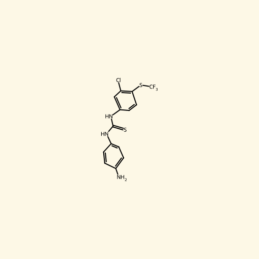 Nc1ccc(NC(=S)Nc2ccc(SC(F)(F)F)c(Cl)c2)cc1